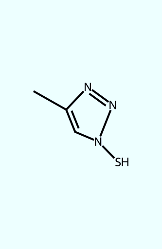 Cc1cn(S)nn1